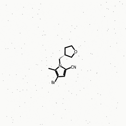 Cc1c(Br)cc(C#N)n1C[C@@H]1CCOC1